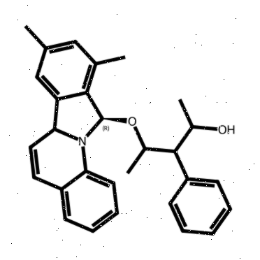 Cc1cc(C)c2c(c1)C1C=Cc3ccccc3N1[C@@H]2OC(C)C(c1ccccc1)C(C)O